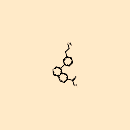 CCCc1cccc(-c2cncc3ncc(C(N)=O)cc23)c1